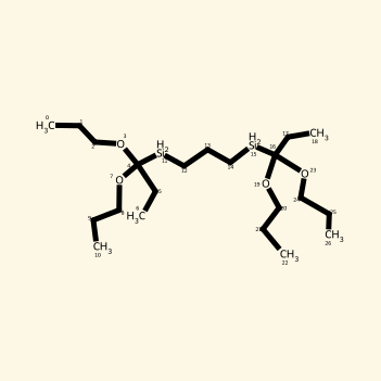 CCCOC(CC)(OCCC)[SiH2]CCC[SiH2]C(CC)(OCCC)OCCC